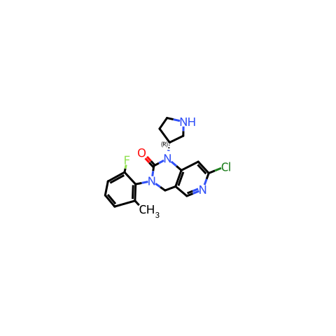 Cc1cccc(F)c1N1Cc2cnc(Cl)cc2N([C@@H]2CCNC2)C1=O